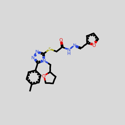 Cc1ccc(-c2nnc(SCC(=O)N/N=C/c3ccco3)n2CC2CCCO2)cc1